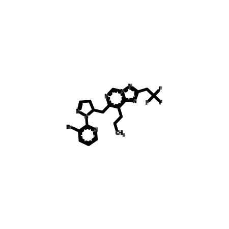 CCCc1c(CC2CC=NN2c2ncccc2Br)ncn2nc(CC(F)(F)F)nc12